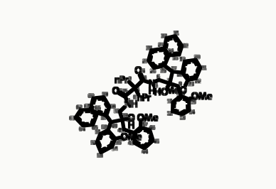 CCCC(CCC)(C(=O)NCC(O)(Cc1ccccc1OC)C(c1ccccc1OC)c1cccc2ccccc12)C(=O)NCC(O)(Cc1ccccc1OC)C(c1ccccc1OC)c1cccc2ccccc12